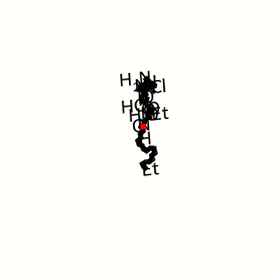 CC/C=C\C/C=C\C/C=C\C/C=C\C/C=C\CCCC(=O)NCCNP(=O)(OCC)OC[C@H]1OC(n2cnc3c(N)nc(Cl)nc32)C[C@@H]1O